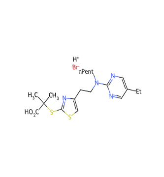 CCCCCN(CCc1csc(SC(C)(C)C(=O)O)n1)c1ncc(CC)cn1.[Br-].[H+]